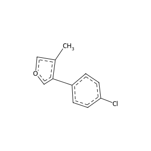 Cc1cocc1-c1ccc(Cl)cc1